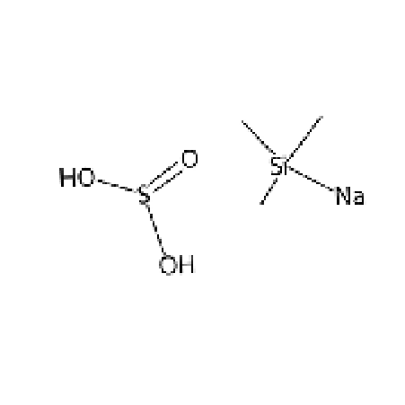 C[Si](C)(C)[Na].O=S(O)O